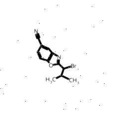 CC(C)C(Br)c1nc2cc(C#N)ccc2o1